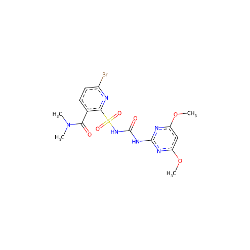 COc1cc(OC)nc(NC(=O)NS(=O)(=O)c2nc(Br)ccc2C(=O)N(C)C)n1